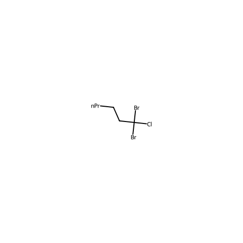 CCCCCC(Cl)(Br)Br